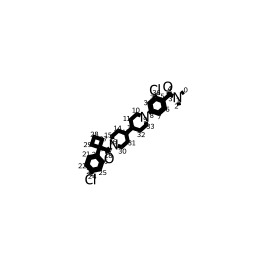 CN(C)C(=O)c1ccc(N2CCC(C3CCN(C(=O)C4(c5ccc(Cl)cc5)CCC4)CC3)CC2)cc1Cl